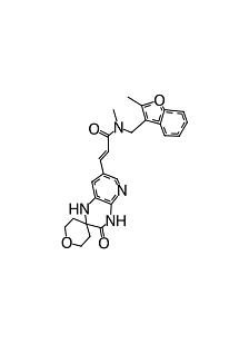 Cc1oc2ccccc2c1CN(C)C(=O)/C=C/c1cnc2c(c1)NC1(CCOCC1)C(=O)N2